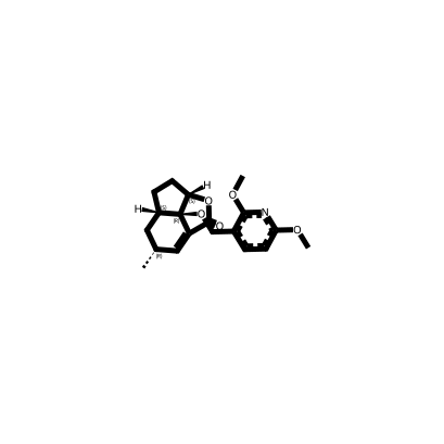 COc1ccc(CO[C@@]23C4=C[C@H](C)C[C@@H]2CC[C@@H]3OC4=O)c(OC)n1